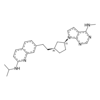 CNc1ncnc2c1ccn2[C@H]1CC[C@@H](CCc2ccc3ccc(NC(C)C)nc3c2)C1